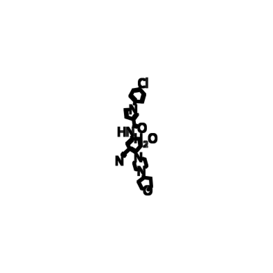 N#Cc1cc(NC(=O)c2ccn(-c3ccc(Cl)cc3)c2)ccc1N1CCN(C2CCOCC2)CC1.O